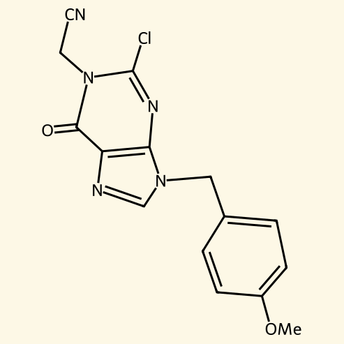 COc1ccc(Cn2cnc3c(=O)n(CC#N)c(Cl)nc32)cc1